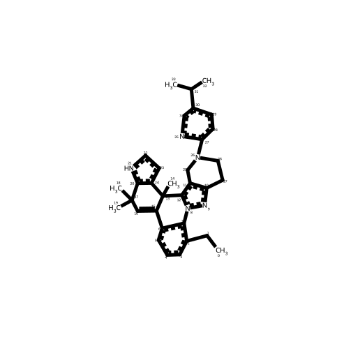 CCc1cccc2c1-n1nc3c(c1C1(C)C2=CC(C)(C)c2[nH]ccc21)CN(c1ccc(C(C)C)cn1)CC3